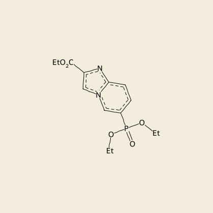 CCOC(=O)c1cn2cc(P(=O)(OCC)OCC)ccc2n1